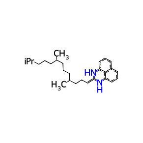 CC(C)CCCC(C)CCCC(C)CCC=c1[nH]c2cccc3cccc([nH]1)c32